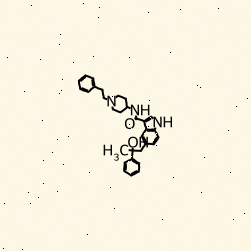 CC(O)(Cc1ccc2[nH]cc(C(=O)NC3CCN(CCc4ccccc4)CC3)c2c1)c1ccccc1